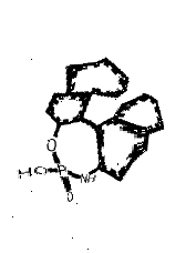 O=P1(O)Nc2ccc3ccccc3c2-c2c(ccc3ccccc23)O1